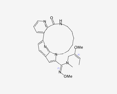 C/C=C(\CN(C)/C(=N\OC)c1cc2ccc3nc2n1CCCCCCNC(=O)c1ncccc1-3)OC